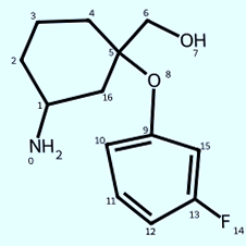 NC1CCCC(CO)(Oc2cccc(F)c2)C1